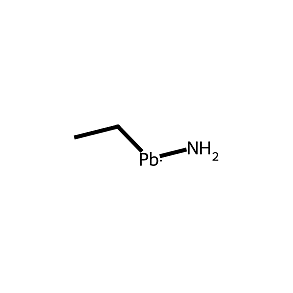 C[CH2][Pb][NH2]